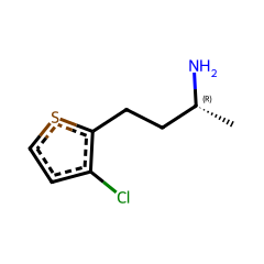 C[C@@H](N)CCc1sccc1Cl